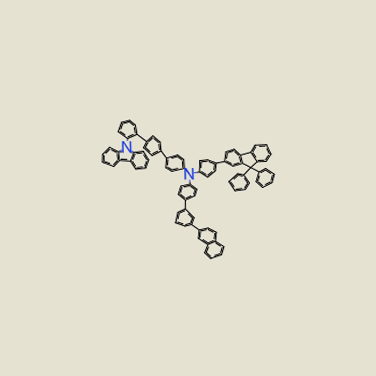 c1ccc(C2(c3ccccc3)c3ccccc3-c3ccc(-c4ccc(N(c5ccc(-c6ccc(-c7ccccc7-n7c8ccccc8c8ccccc87)cc6)cc5)c5ccc(-c6cccc(-c7ccc8ccccc8c7)c6)cc5)cc4)cc32)cc1